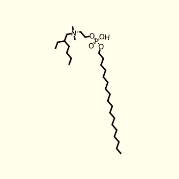 CCCCCCCCCCCCCCCCCCOP(=O)(O)OCC[N+](C)(C)CC(CC)CCCC